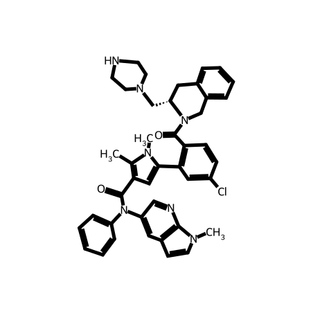 Cc1c(C(=O)N(c2ccccc2)c2cnc3c(ccn3C)c2)cc(-c2cc(Cl)ccc2C(=O)N2Cc3ccccc3C[C@H]2CN2CCNCC2)n1C